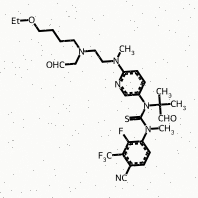 CCOCCCCN(CC=O)CCN(C)c1ccc(N(C(=S)N(C)c2ccc(C#N)c(C(F)(F)F)c2F)C(C)(C)C=O)cn1